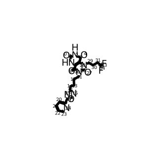 O=c1[nH]c(=O)c2c([nH]1)c(=O)n(CCCCc1noc(-c3ccccn3)n1)c(=O)n2CCCC(F)F